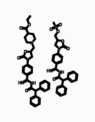 CCOC(=O)C1CCN(CC2CN(c3ccc(C(=N)NC(=O)C(c4ccccc4)c4ccccc4)cc3)C(=O)O2)CC1.CS(=O)(=O)OCC1CN(c2ccc(C(=N)NC(=O)C(c3ccccc3)c3ccccc3)cc2)C(=O)O1